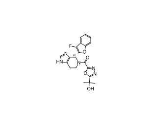 CC(C)(O)c1nnc(C(=O)N2CCc3[nH]cnc3[C@@H]2c2oc3ccccc3c2F)o1